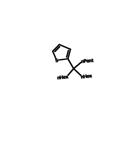 CCCCCCC(CCCCC)(CCCCCC)c1cccs1